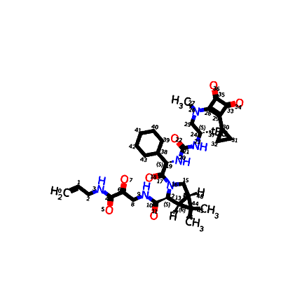 C=CCNC(=O)C(=O)CNC(=O)[C@@H]1[C@@H]2[C@H](CN1C(=O)[C@@H](NC(=O)N[C@H](CN(C)c1c(C3CC3)c(=O)c1=O)C(C)(C)C)C1CCCCC1)C2(C)C